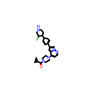 O=C(C1CC1)N1CCN(c2ccnn3cc(C4=CCC(C5CCNCC5F)C=C4)cc23)CC1